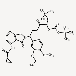 CCOc1cc(C(CCC(=O)N(OC(=O)OC(C)(C)C)OC(C)(C)C)N2Cc3cccc(NC(=O)C4CC4)c3C2=O)ccc1OC